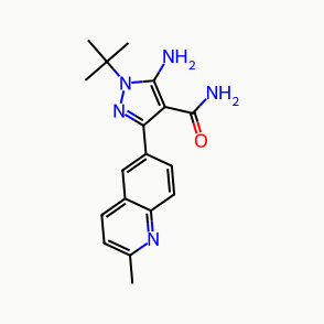 Cc1ccc2cc(-c3nn(C(C)(C)C)c(N)c3C(N)=O)ccc2n1